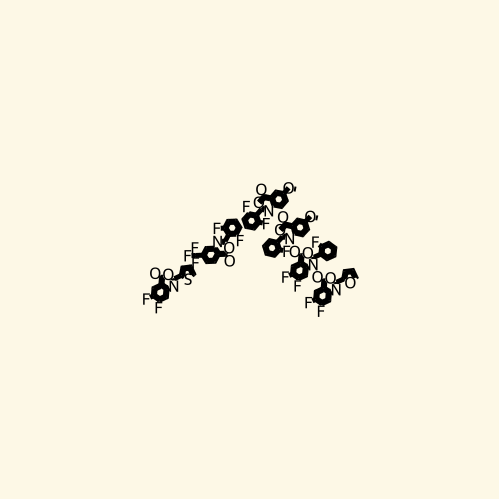 COc1ccc2nc(-c3c(F)cccc3F)oc(=O)c2c1.COc1ccc2nc(-c3ccccc3F)oc(=O)c2c1.O=c1oc(-c2c(F)cccc2F)nc2cc(C(F)(F)F)ccc12.O=c1oc(-c2ccccc2F)nc2cc(F)c(F)cc12.O=c1oc(-c2ccco2)nc2cc(F)c(F)cc12.O=c1oc(-c2cccs2)nc2cc(F)c(F)cc12